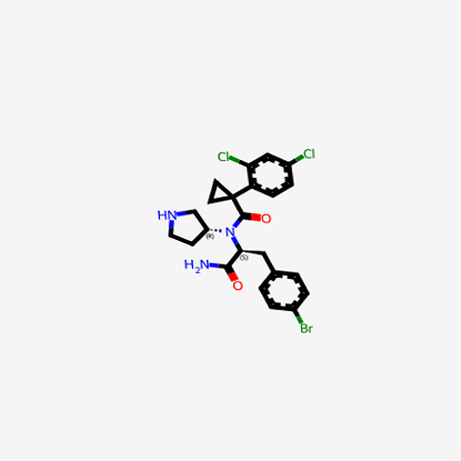 NC(=O)[C@H](Cc1ccc(Br)cc1)N(C(=O)C1(c2ccc(Cl)cc2Cl)CC1)[C@@H]1CCNC1